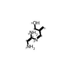 C=C(/C=N\C(N)=C/N)CO